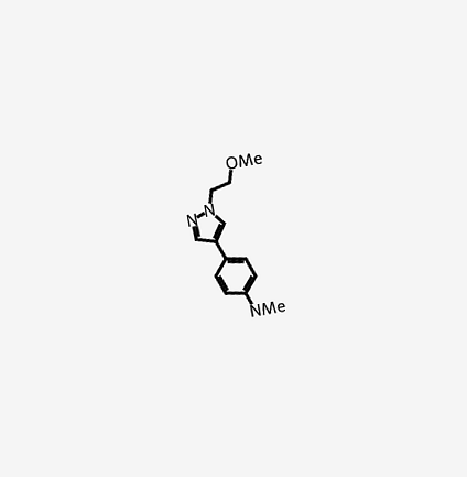 CNc1ccc(-c2cnn(CCOC)c2)cc1